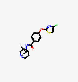 O=C(N[C@H]1CN2CCC1CC2)c1ccc(Oc2nc(Cl)cs2)cc1